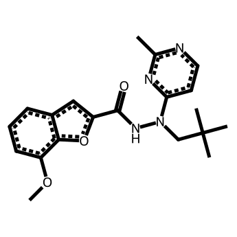 COc1cccc2cc(C(=O)NN(CC(C)(C)C)c3ccnc(C)n3)oc12